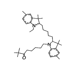 CC[N+]1=C(CCCCCC2N(CCCCCC(=O)C(C)(C)C)c3ccc(C)cc3C2(C)C)C(C)(C)c2cc(C)ccc21